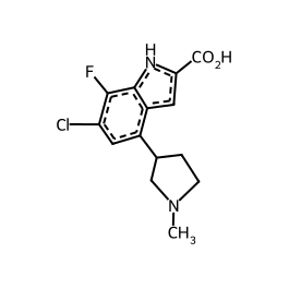 CN1CCC(c2cc(Cl)c(F)c3[nH]c(C(=O)O)cc23)C1